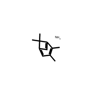 Cc1cc2cc(c1C)C2(C)C.N